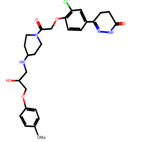 COc1ccc(OCC(O)CNC2CCN(C(=O)COc3ccc(C4=NNC(=O)CC4)cc3Cl)CC2)cc1